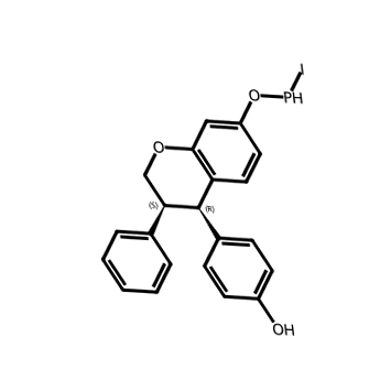 Oc1ccc([C@@H]2c3ccc(OPI)cc3OC[C@@H]2c2ccccc2)cc1